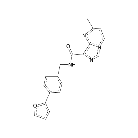 Cc1ccn2cnc(C(=O)NCc3ccc(-c4ccco4)cc3)c2n1